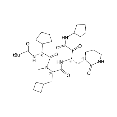 CN(C(=O)[C@H](NC(=O)C(C)(C)C)C1CCCC1)[C@@H](CC1CCC1)C(=O)N[C@@H](C[C@@H]1CCCNC1=O)C(=O)C(=O)NC1CCCC1